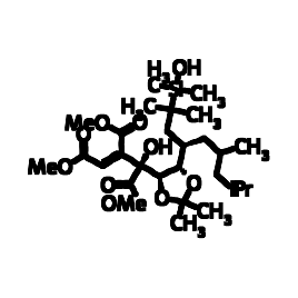 COC(=O)/C=C(\C(=O)OC)[C@@](O)(C(=O)OC)[C@@H]1OC(C)(C)O[C@H]1[C@H](CC(C)CC(C)C)CC(C)(C)[Si](C)(C)O